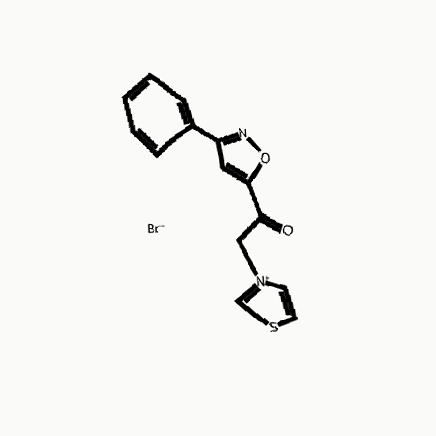 O=C(C[n+]1ccsc1)c1cc(-c2ccccc2)no1.[Br-]